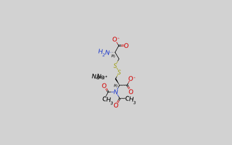 CC(=O)N(C(C)=O)[C@@H](CSSC[C@H](N)C(=O)[O-])C(=O)[O-].[Na+].[Na+]